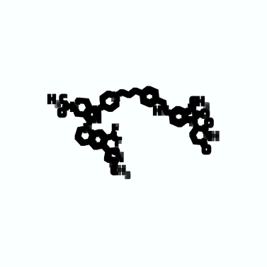 CC(=O)N1CCc2c(c(N3CCCc4cc(-c5cnn(C)c5)c(C(F)F)cc43)nn2C2CCN(CCCc3ccc(CNc4ccc5c(c4)n(C)c(=O)n5C4CCC(=O)NC4=O)cc3)CC2)C1